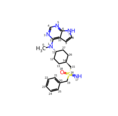 CN(c1ncnc2[nH]ccc12)[C@H]1CC[C@H](C[S@@](=N)(=O)Cc2ccccc2)CC1